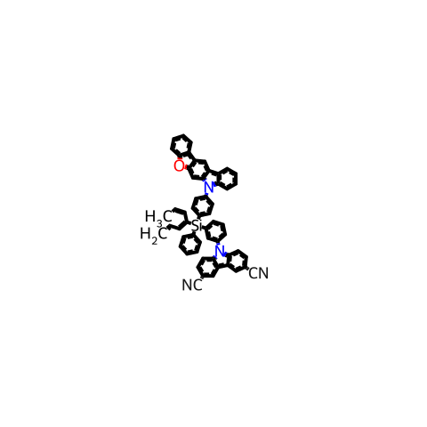 C=C/C=C(\C=C/C)[Si](c1ccccc1)(c1ccc(-n2c3ccccc3c3cc4c(cc32)oc2ccccc24)cc1)c1cccc(-n2c3ccc(C#N)cc3c3cc(C#N)ccc32)c1